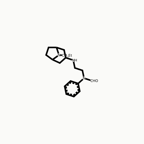 CCOC(=O)N1C2CCC1CC(NCCN(C=O)c1ccccc1)C2